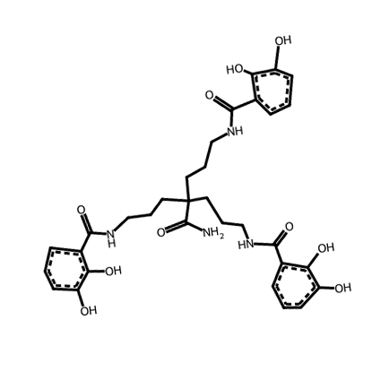 NC(=O)C(CCCNC(=O)c1cccc(O)c1O)(CCCNC(=O)c1cccc(O)c1O)CCCNC(=O)c1cccc(O)c1O